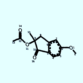 COc1ccc2c(c1)CC(C)(OC(C)=O)C2=O